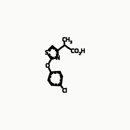 CC(C(=O)O)c1csc(Oc2ccc(Cl)cc2)n1